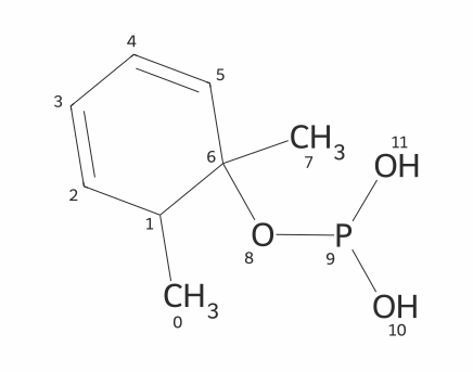 CC1C=CC=CC1(C)OP(O)O